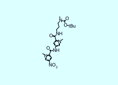 CN(CCCNC(=O)c1cc(NC(=O)c2cc([N+](=O)[O-])cn2C)cn1C)C(=O)OC(C)(C)C